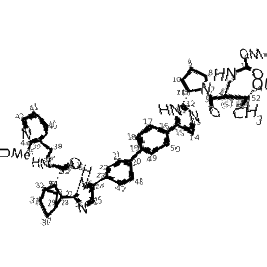 COC(=O)N[C@H](C(=O)N1CCC[C@H]1c1ncc(-c2ccc(-c3ccc(-c4cnc(C5C6CCC(C6)[C@@H]5C(=O)NCc5cccnc5OC)[nH]4)cc3)cc2)[nH]1)[C@@H](C)OC